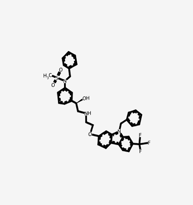 CS(=O)(=O)N(Cc1ccccc1)c1cccc([C@@H](O)CNCCOc2ccc3c4ccc(C(F)(F)F)cc4n(Cc4ccccc4)c3c2)c1